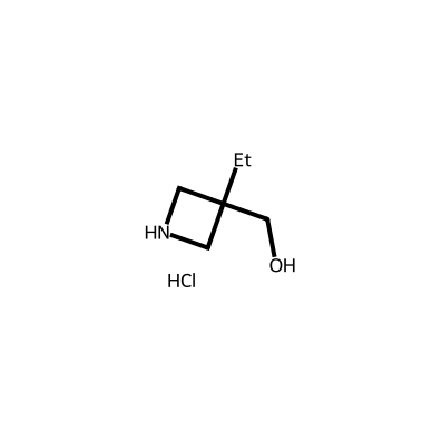 CCC1(CO)CNC1.Cl